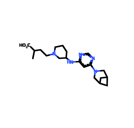 CC(CCN1CCCC(Nc2cc(N3CC4CC(C4)C3)ncn2)C1)C(=O)O